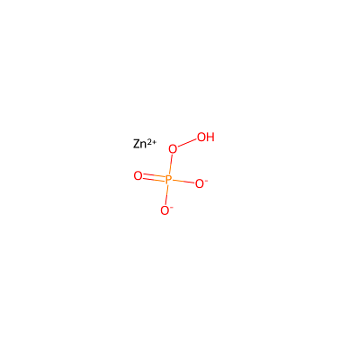 O=P([O-])([O-])OO.[Zn+2]